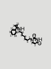 O=c1ccn(C/C=C\CCCCNC2(c3ccccc3)CC2)c(=O)[nH]1